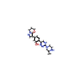 CC(C)[C@H]1CN(c2ncc(-c3ccc(-c4cnn5c4OCCC5)cc3O)nn2)CCN1